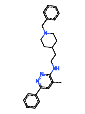 Cc1cc(-c2ccccc2)nnc1NCCC1CCN(Cc2ccccc2)CC1